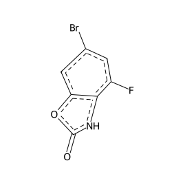 O=c1[nH]c2c(F)cc(Br)cc2o1